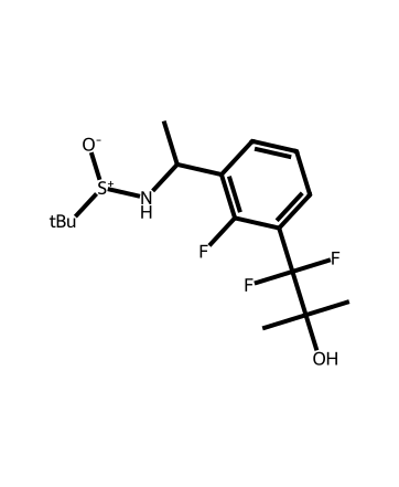 CC(N[S+]([O-])C(C)(C)C)c1cccc(C(F)(F)C(C)(C)O)c1F